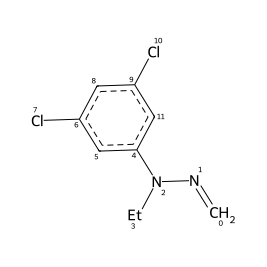 C=NN(CC)c1cc(Cl)cc(Cl)c1